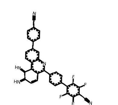 N#Cc1ccc(-c2ccc3c4c(c(-c5ccc(-c6c(F)c(F)c(C#N)c(F)c6F)cc5)nc3c2)C=CC(=N)C4=N)cc1